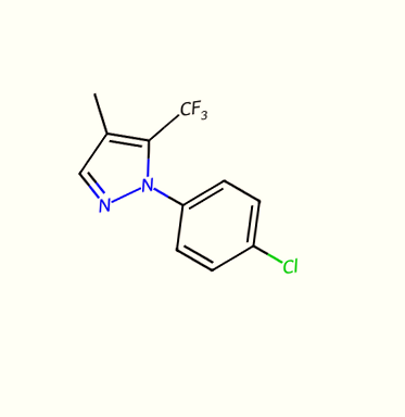 Cc1cnn(-c2ccc(Cl)cc2)c1C(F)(F)F